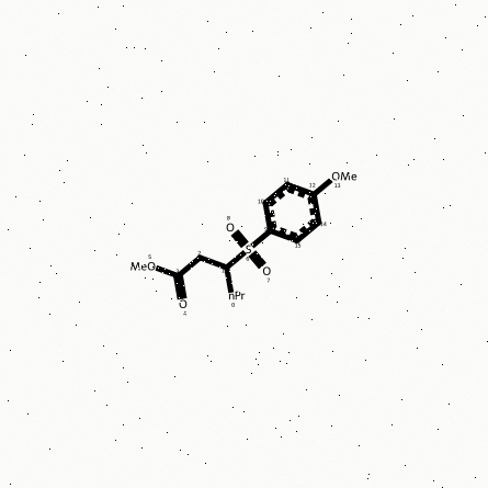 CCCC(CC(=O)OC)S(=O)(=O)c1ccc(OC)cc1